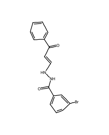 O=C(C=CNNC(=O)c1cccc(Br)c1)c1ccccc1